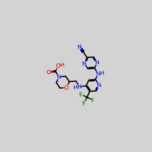 N#Cc1cnc(Nc2cc(NCC3CN(C(=O)O)CCO3)c(C(F)(F)F)cn2)cn1